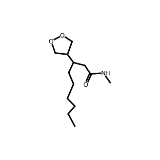 CCCCCCC(CC(=O)NC)C1COOC1